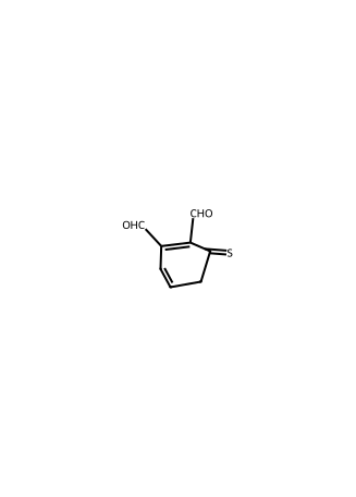 O=CC1=C(C=O)C(=S)CC=C1